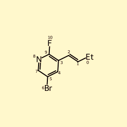 CCC=Cc1cc(Br)cnc1F